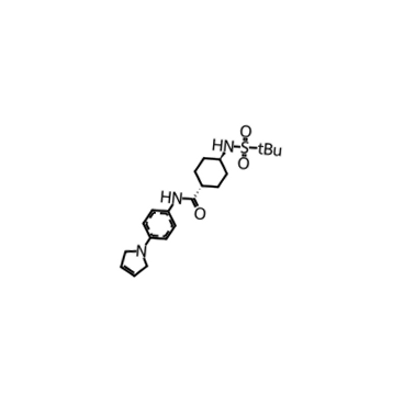 CC(C)(C)S(=O)(=O)N[C@H]1CC[C@H](C(=O)Nc2ccc(N3CC=CC3)cc2)CC1